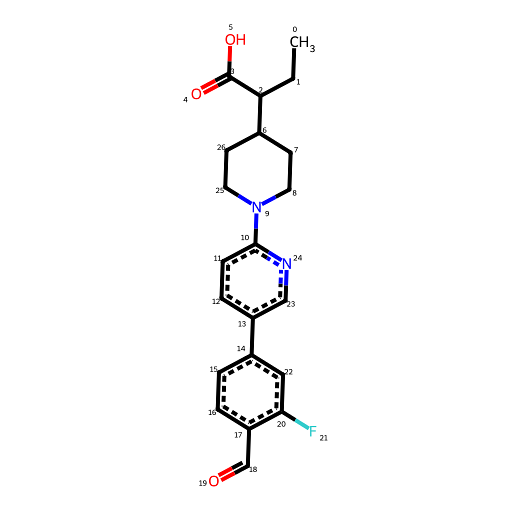 CCC(C(=O)O)C1CCN(c2ccc(-c3ccc(C=O)c(F)c3)cn2)CC1